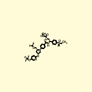 CCS(=O)(=O)c1ccc([C@H](COC(=O)NC)NC(=O)c2ccc(N3C[C@@H](Oc4ccc(OC(F)(F)F)cn4)C[C@H]3COC(F)F)cc2)cc1